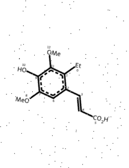 CCc1c(C=CC(=O)O)cc(OC)c(O)c1OC